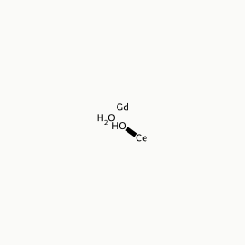 O.[Gd].[OH][Ce]